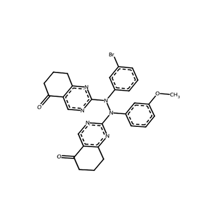 COc1cccc(N(c2ncc3c(n2)CCCC3=O)N(c2cccc(Br)c2)c2ncc3c(n2)CCCC3=O)c1